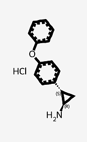 Cl.N[C@@H]1C[C@H]1c1ccc(Oc2ccccc2)cc1